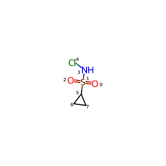 O=S(=O)(NCl)C1CC1